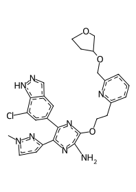 Cn1ccc(-c2nc(N)c(OCCc3cccc(COC4CCOC4)n3)nc2-c2cc(Cl)c3[nH]ncc3c2)n1